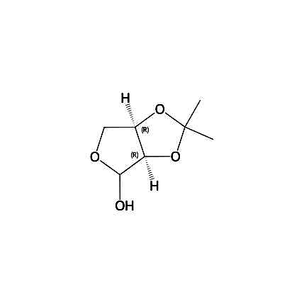 CC1(C)O[C@@H]2COC(O)[C@@H]2O1